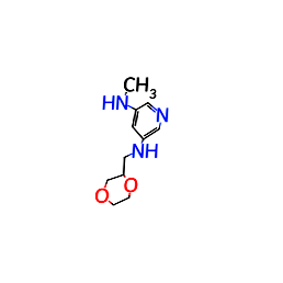 CNc1cncc(NCC2COCCO2)c1